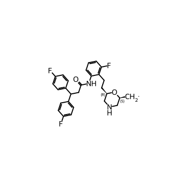 [CH2][C@H]1CNC[C@@H](CCc2c(F)cccc2NC(=O)CC(c2ccc(F)cc2)c2ccc(F)cc2)O1